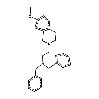 COc1ccc2c(c1)CN(CCN(Cc1ccccc1)Cc1ccccc1)CC2